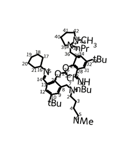 CCCCN(CCCCNC)Cc1cc(C(C)(C)C)cc(/C=N/C2CCCCC2)c1OC(Cl)Oc1c(C=N)cc(C(C)(C)C)cc1C[N+]1(CCC)CCCCN1C